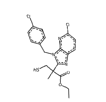 CCOC(=O)C(C)(CS)c1nc2ccc(Cl)nc2n1Cc1ccc(Cl)cc1